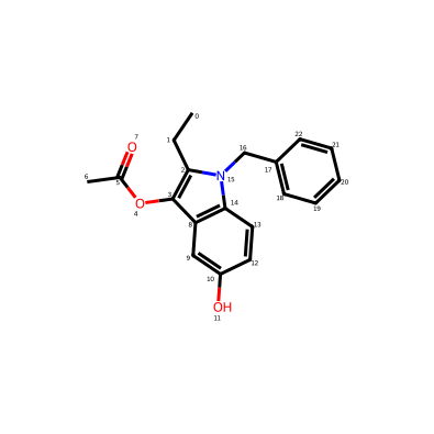 CCc1c(OC(C)=O)c2cc(O)ccc2n1Cc1ccccc1